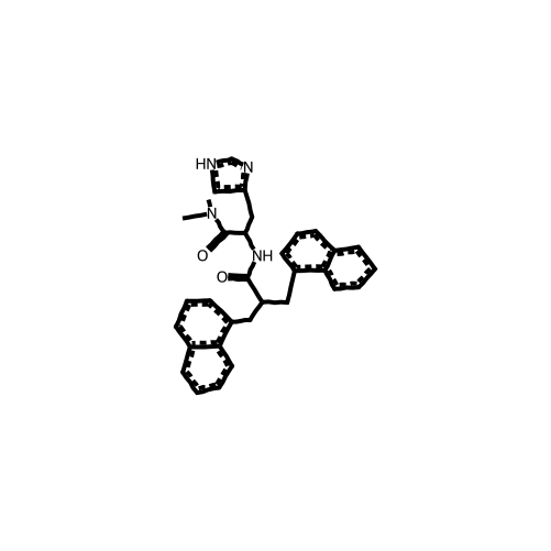 CN(C)C(=O)C(Cc1c[nH]cn1)NC(=O)C(Cc1cccc2ccccc12)Cc1cccc2ccccc12